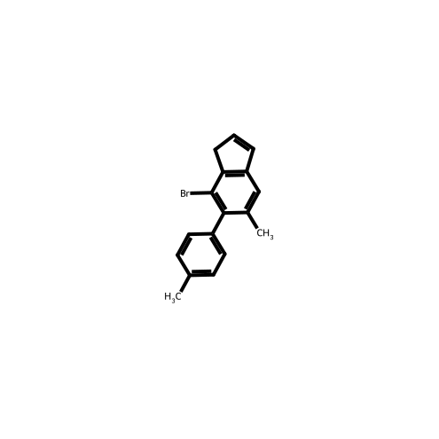 Cc1ccc(-c2c(C)cc3c(c2Br)CC=C3)cc1